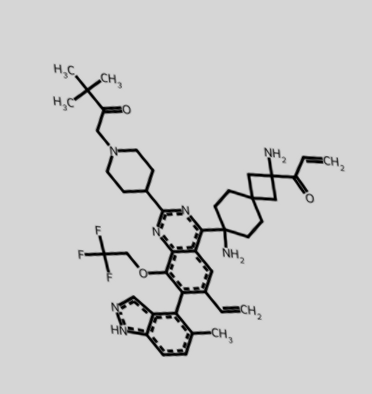 C=CC(=O)C1(N)CC2(CCC(N)(c3nc(C4CCN(CC(=O)C(C)(C)C)CC4)nc4c(OCC(F)(F)F)c(-c5c(C)ccc6[nH]ncc56)c(C=C)cc34)CC2)C1